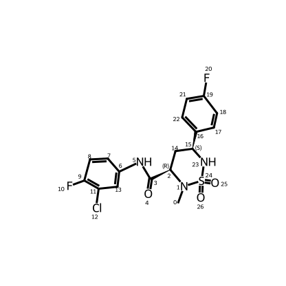 CN1[C@@H](C(=O)Nc2ccc(F)c(Cl)c2)C[C@@H](c2ccc(F)cc2)NS1(=O)=O